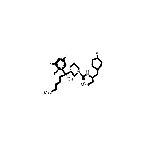 CNCC(CC1CCC(F)CC1)NC(=O)N1CCC[C@@H]([C@@](O)(CCCCOC)c2cc(F)cc(F)c2F)C1